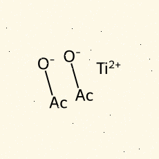 CC(=O)[O-].CC(=O)[O-].[Ti+2]